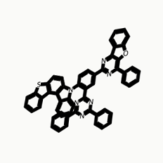 c1ccc(-c2nc(-c3ccccc3)nc(-c3cc(-c4nc(-c5ccccc5)c5oc6ccccc6c5n4)ccc3-n3c4ccccc4c4c5c(ccc43)sc3ccccc35)n2)cc1